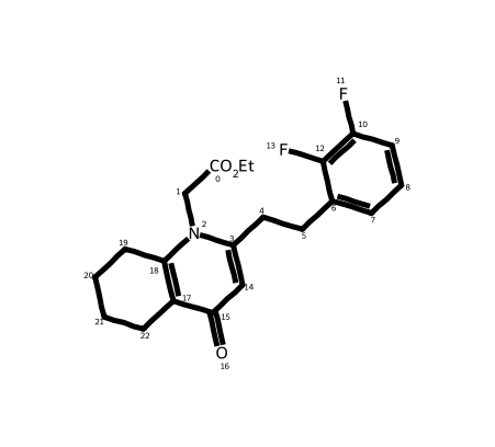 CCOC(=O)Cn1c(CCc2cccc(F)c2F)cc(=O)c2c1CCCC2